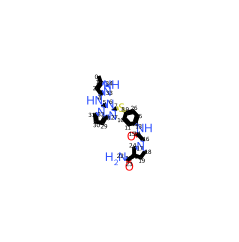 Cc1cc(Nc2nc(Sc3ccc(NC(=O)CN4CCC(C(N)=O)C4)cc3)nc3cccn23)n[nH]1